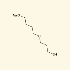 COCCCCOCCCS